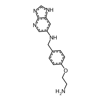 NCCOc1ccc(CNc2cnc3nc[nH]c3c2)cc1